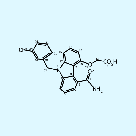 NC(=O)c1cccc2c1c1c(OCC(=O)O)cccc1n2Cc1cccc(Cl)c1